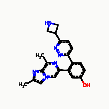 Cc1cn2cc(-c3cc(O)ccc3-c3ccc(C4CNC4)nn3)nc(C)c2n1